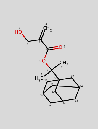 C=C(CO)C(=O)OC(C)(C)C12CC3CC(CC(C3)C1)C2